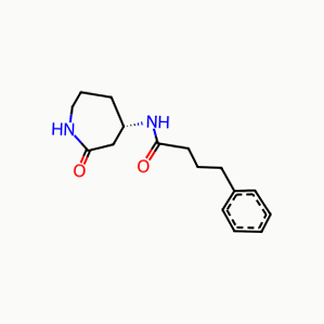 O=C1C[C@@H](NC(=O)CCCc2ccccc2)CCCN1